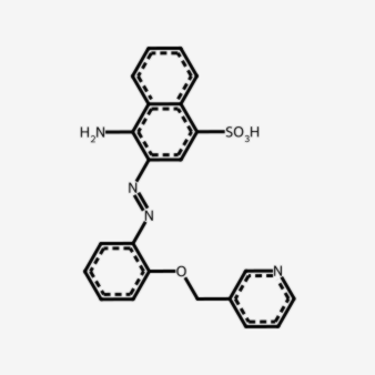 Nc1c(/N=N/c2ccccc2OCc2cccnc2)cc(S(=O)(=O)O)c2ccccc12